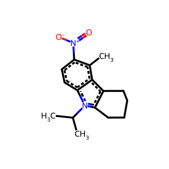 Cc1c([N+](=O)[O-])ccc2c1c1c(n2C(C)C)CCCC1